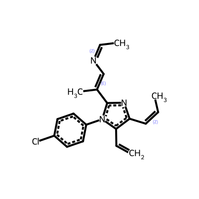 C=Cc1c(/C=C\C)nc(/C(C)=C/N=C\C)n1-c1ccc(Cl)cc1